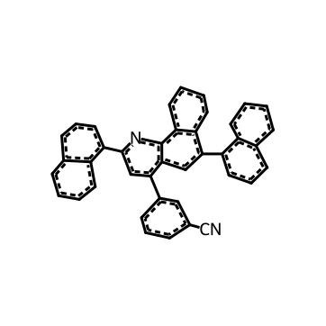 N#Cc1cccc(-c2cc(-c3cccc4ccccc34)nc3c2cc(-c2cccc4ccccc24)c2ccccc23)c1